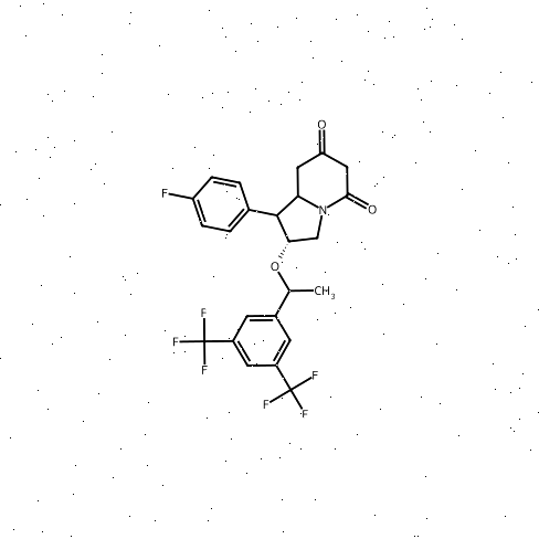 CC(O[C@H]1CN2C(=O)CC(=O)CC2C1c1ccc(F)cc1)c1cc(C(F)(F)F)cc(C(F)(F)F)c1